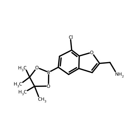 CC1(C)OB(c2cc(Cl)c3oc(CN)cc3c2)OC1(C)C